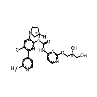 Cc1cc(-c2nc3c(cc2Cl)N2CC[C@@H](C2)N3C(=O)Nc2ccnc(OC[C@H](O)CO)n2)ccn1